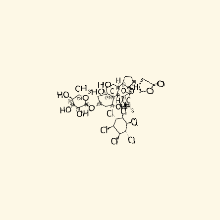 CC(=O)O[C@]12CC[C@H](C3=CC(=O)OC3)[C@@]1(C)C[C@@H](O)[C@H]1[C@H]2CC[C@]2(O)C[C@@H](O[C@@H]3O[C@@H](C)[C@H](O)[C@@H](O)[C@H]3O)C[C@@H](O)[C@]12CO.Cl[C@H]1[C@H](Cl)[C@@H](Cl)[C@@H](Cl)[C@H](Cl)[C@H]1Cl